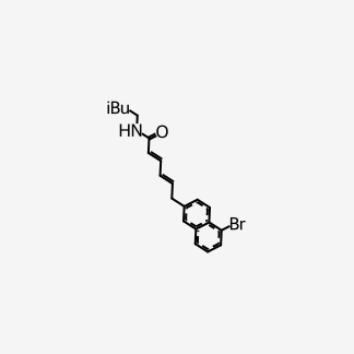 CCC(C)CNC(=O)/C=C/C=C/Cc1ccc2c(Br)cccc2c1